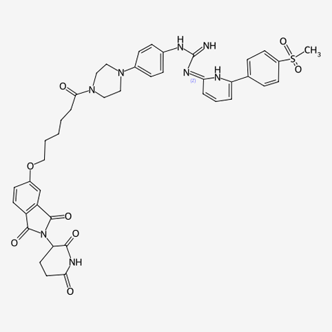 CS(=O)(=O)c1ccc(-c2ccc/c(=N/C(=N)Nc3ccc(N4CCN(C(=O)CCCCCOc5ccc6c(c5)C(=O)N(C5CCC(=O)NC5=O)C6=O)CC4)cc3)[nH]2)cc1